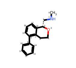 CNC[C@@H]1OCCc2c(-c3ccccc3)cccc21